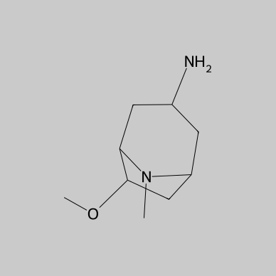 COC1CC2CC(N)CC1N2C